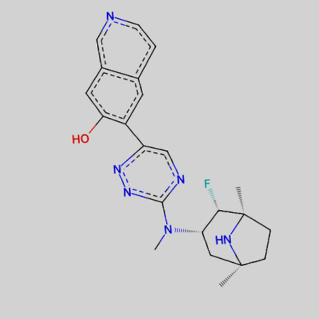 CN(c1ncc(-c2cc3ccncc3cc2O)nn1)[C@H]1C[C@]2(C)CC[C@@](C)(N2)[C@H]1F